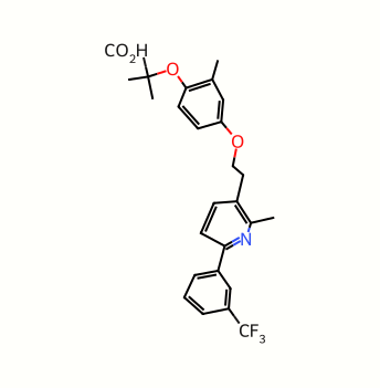 Cc1cc(OCCc2ccc(-c3cccc(C(F)(F)F)c3)nc2C)ccc1OC(C)(C)C(=O)O